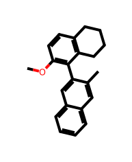 COc1ccc2c(c1-c1cc3ccccc3cc1C)CCCC2